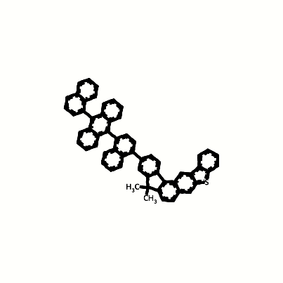 CC1(C)c2cc(-c3ccc(-c4c5ccccc5c(-c5cccc6ccccc56)c5ccccc45)c4ccccc34)ccc2-c2c1ccc1cc3sc4ccccc4c3cc21